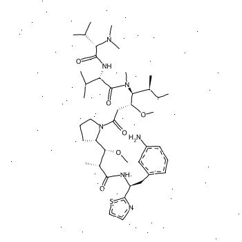 CC[C@H](C)[C@@H]([C@@H](CC(=O)N1CCC[C@H]1[C@H](OC)[C@@H](C)C(=O)N[C@@H](Cc1cccc(N)c1)c1nccs1)OC)N(C)C(=O)[C@@H](NC(=O)[C@H](C(C)C)N(C)C)C(C)C